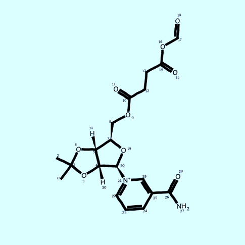 CC1(C)O[C@@H]2[C@H](O1)[C@@H](COC(=O)CCC(=O)OC=O)O[C@H]2[n+]1cccc(C(N)=O)c1